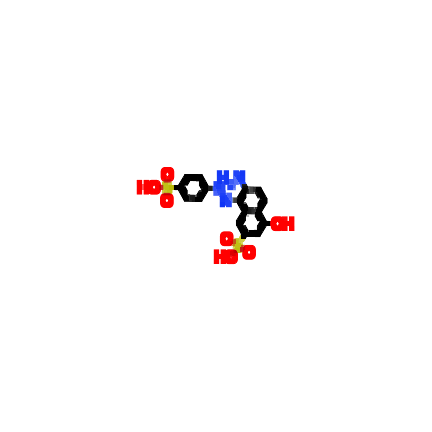 Nc1ccc2c(O)cc(S(=O)(=O)O)cc2c1N=Nc1ccc(S(=O)(=O)O)cc1